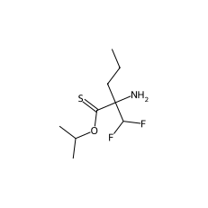 CCCC(N)(C(=S)OC(C)C)C(F)F